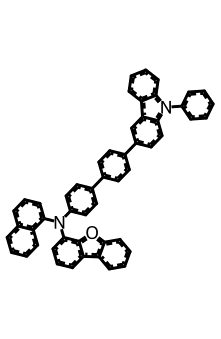 c1ccc(-n2c3ccccc3c3cc(-c4ccc(-c5ccc(N(c6cccc7ccccc67)c6cccc7c6oc6ccccc67)cc5)cc4)ccc32)cc1